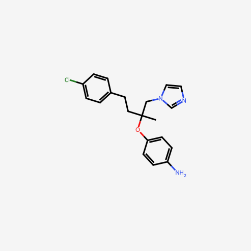 CC(CCc1ccc(Cl)cc1)(Cn1ccnc1)Oc1ccc(N)cc1